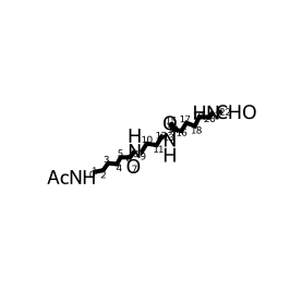 CC(=O)NCCCCCC(=O)NCCCCNC(=O)CCCCCNC=O